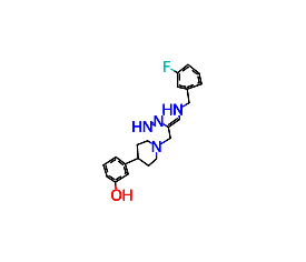 N=N/C(=C\NCc1cccc(F)c1)CN1CCC(c2cccc(O)c2)CC1